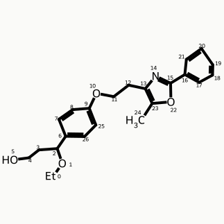 CCOC(CCO)c1ccc(OCCc2nc(-c3ccccc3)oc2C)cc1